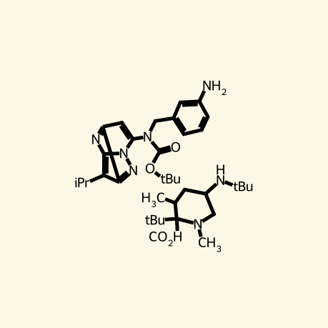 CC(C)c1c2nn3c(N(Cc4cccc(N)c4)C(=O)OC(C)(C)C)cc-2nc13.CC1CC(NC(C)(C)C)CN(C)C1(C(=O)O)C(C)(C)C